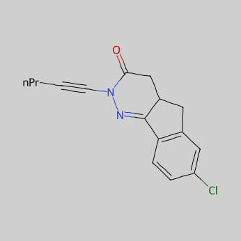 CCCC#CN1N=C2c3ccc(Cl)cc3CC2CC1=O